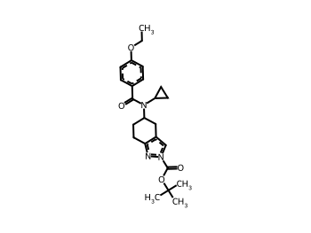 CCOc1ccc(C(=O)N(C2CC2)C2CCc3nn(C(=O)OC(C)(C)C)cc3C2)cc1